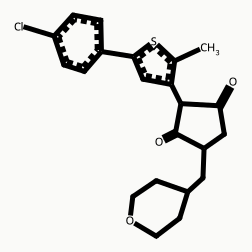 Cc1sc(-c2ccc(Cl)cc2)cc1C1C(=O)CC(CC2CCOCC2)C1=O